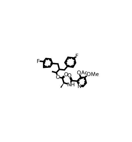 COc1ccnc(C(=O)N[C@@H](C)C(=O)OC(C)C(Cc2ccc(F)cc2)Cc2ccc(F)cc2)c1OC(C)=O